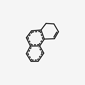 C1=Cc2c(ccc3ccccc23)CC1